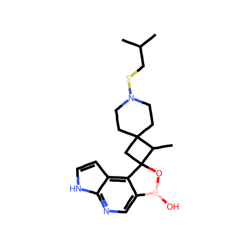 CC(C)CSN1CCC2(CC1)CC1(OB(O)c3cnc4[nH]ccc4c31)C2C